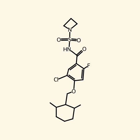 CC1CCCC(C)C1COc1cc(F)c(C(=O)NS(=O)(=O)N2CCC2)cc1Cl